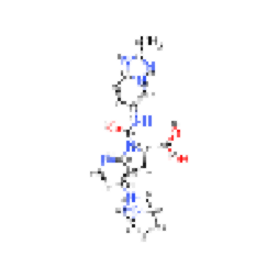 Cc1nc2ccc(NC(=O)N3CCc4c(N5CC6CCC(C5)N6)ccnc43)cn2n1.O=CO